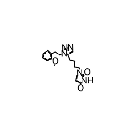 COc1ccccc1CCn1nncc1CCCCn1ccc(=O)[nH]c1=O